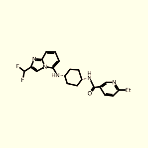 CCc1ccc(C(=O)N[C@H]2CC[C@@H](Nc3cccc4nc(C(F)F)cn34)CC2)cn1